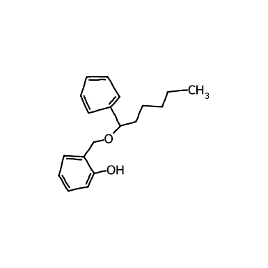 CCCCCC(OCc1ccccc1O)c1ccccc1